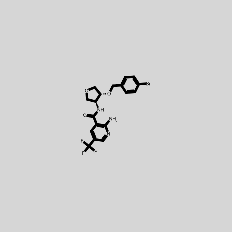 Nc1ncc(C(F)(F)F)cc1C(=O)N[C@H]1COC[C@@H]1OCc1ccc(Br)cc1